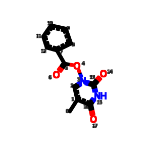 Cc1cn(OC(=O)c2ccccc2)c(=O)[nH]c1=O